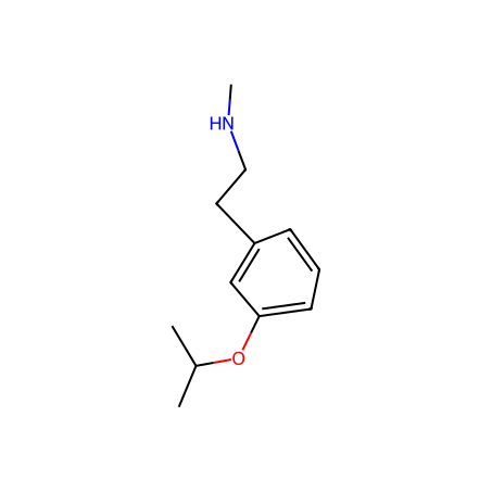 CNCCc1cccc(OC(C)C)c1